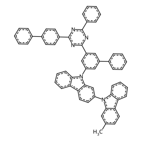 Cc1ccc2c3ccccc3n(-c3ccc4c5ccccc5n(-c5cc(-c6ccccc6)cc(-c6nc(-c7ccccc7)nc(-c7ccc(-c8ccccc8)cc7)n6)c5)c4c3)c2c1